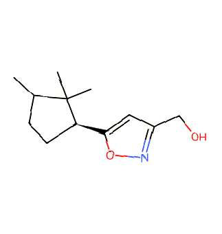 CC1CC[C@H](c2cc(CO)no2)C1(C)C